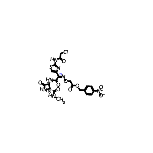 CNC(=O)[C@@H]1NC(=O)[C@@H]1NC(=O)/C(=N\OCC(=O)OCc1ccc([N+](=O)[O-])cc1)c1csc(NC(=O)CCl)n1